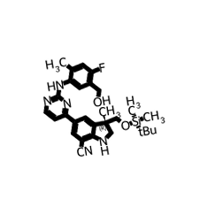 Cc1cc(F)c(CO)cc1Nc1nccc(-c2cc(C#N)c3c(c2)[C@@](C)(CO[Si](C)(C)C(C)(C)C)CN3)n1